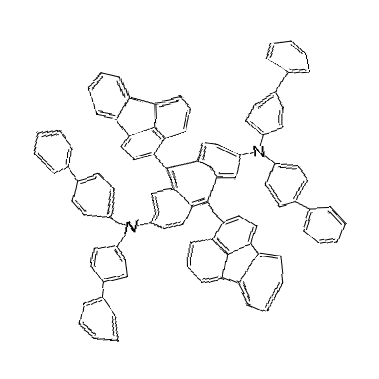 c1ccc(-c2ccc(N(c3ccc(-c4ccccc4)cc3)c3ccc4c(-c5ccc6c7c(cccc57)-c5ccccc5-6)c5cc(N(c6ccc(-c7ccccc7)cc6)c6ccc(-c7ccccc7)cc6)ccc5c(-c5ccc6c7c(cccc57)-c5ccccc5-6)c4c3)cc2)cc1